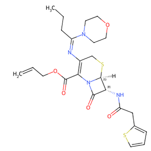 C=CCOC(=O)C1=C(N=C(CCC)N2CCOCC2)CS[C@H]2[C@H](NC(=O)Cc3cccs3)C(=O)N12